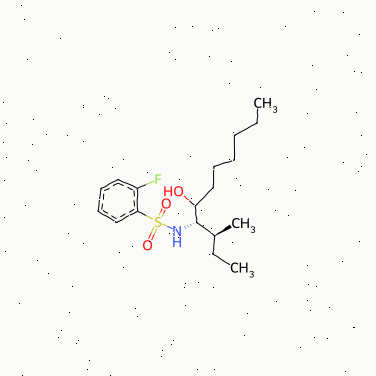 CCCCCCC(O)[C@@H](NS(=O)(=O)c1ccccc1F)[C@@H](C)CC